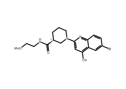 COCCNC(=O)[C@H]1CCCN(c2cc(C#N)c3cc(Br)ccc3n2)C1